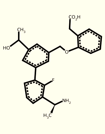 CC(O)c1cc(COc2ccccc2CC(=O)O)cc(-c2cccc([C@H](C)N)c2F)c1